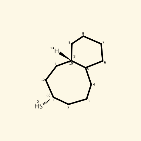 S[C@H]1CCCC2CCCC[C@H]2CC1